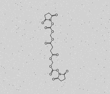 O=C(CCC(=O)OCOC(=O)ON1C(=O)CCC1=O)OCOC(=O)ON1C(=O)CCC1=O